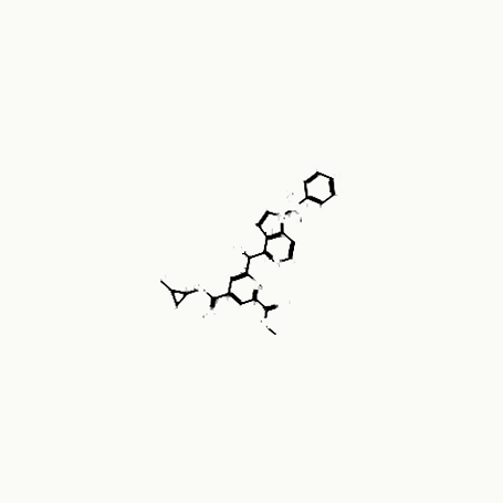 CNC(=O)c1cc(C(=O)NC2CC2C)cc(C(O)c2nccc3c2ccn3S(=O)(=O)c2ccccc2)n1